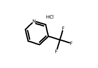 Cl.FC(F)(F)c1cccnc1